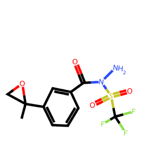 CC1(c2cccc(C(=O)N(N)S(=O)(=O)C(F)(F)F)c2)CO1